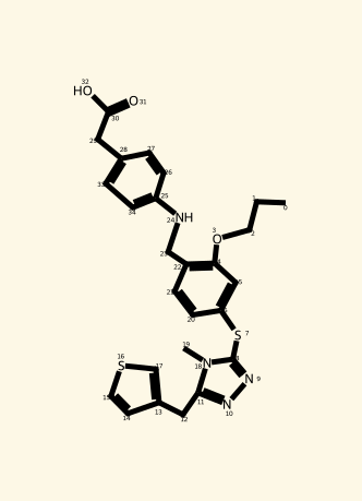 CCCOc1cc(Sc2nnc(Cc3ccsc3)n2C)ccc1CNc1ccc(CC(=O)O)cc1